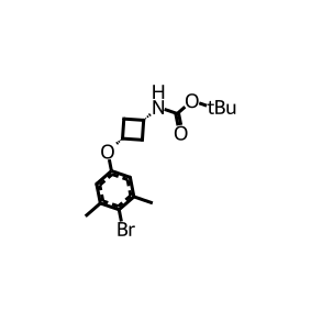 Cc1cc(O[C@H]2C[C@@H](NC(=O)OC(C)(C)C)C2)cc(C)c1Br